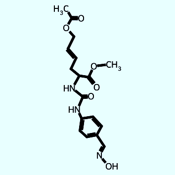 COC(=O)C(CC=CCOC(C)=O)NC(=O)Nc1ccc(C=NO)cc1